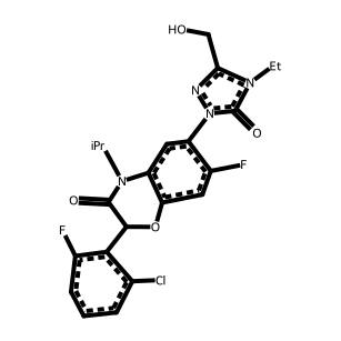 CCn1c(CO)nn(-c2cc3c(cc2F)OC(c2c(F)cccc2Cl)C(=O)N3C(C)C)c1=O